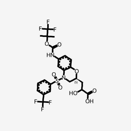 CC(C)(OC(=O)Nc1ccc2c(c1)N(S(=O)(=O)c1cccc(C(F)(F)F)c1)C[C@H](CC(O)C(=O)O)O2)C(F)(F)F